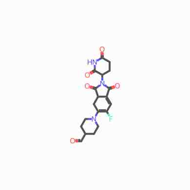 O=CC1CCN(C2=C(F)C=C3C(=O)N(C4CCC(=O)NC4=O)C(=O)C3C2)CC1